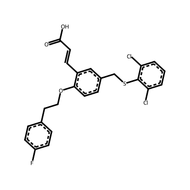 O=C(O)C=Cc1cc(CSc2c(Cl)cccc2Cl)ccc1OCCc1ccc(F)cc1